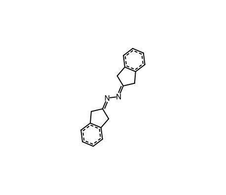 c1ccc2c(c1)CC(=NN=C1Cc3ccccc3C1)C2